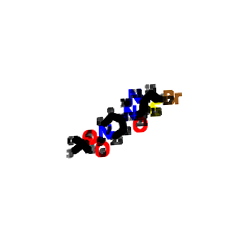 CC(C)(C)OC(=O)N1CCC(n2cnc3cc(Br)sc3c2=O)CC1